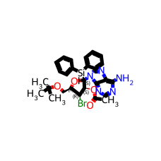 CC(=O)O[C@@H]1[C@H](Br)[C@@H](COC(C)(C)C)O[C@]1(n1cnc2c(N)ncnc21)[SiH](c1ccccc1)c1ccccc1